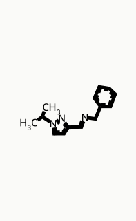 CC(C)n1ccc(C=NCc2ccccc2)n1